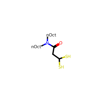 CCCCCCCCN(CCCCCCCC)C(=O)CC(S)S